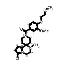 COc1cc(C(=O)N2CCC3(CC2)c2ccc(Cl)n2CCN3C)ccc1OCCOC(F)(F)F